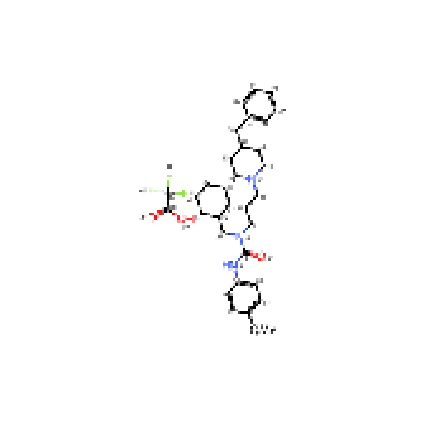 COc1ccc(NC(=O)N(CCCN2CCC(Cc3ccccc3)CC2)CC2CCCCC2)cc1.O=C(O)C(F)(F)F